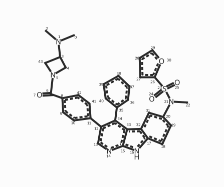 CN(C)C1CN(C(=O)c2ccc(-c3cnc4[nH]c5ccc(N(C)S(=O)(=O)c6ccco6)cc5c4c3-c3ccccc3)cc2)C1